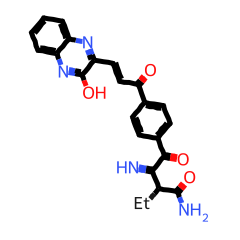 CCC(C(=N)C(=O)c1ccc(C(=O)C=Cc2nc3ccccc3nc2O)cc1)C(N)=O